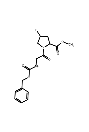 COC(=O)C1CC(F)CN1C(=O)CNC(=O)OCc1ccccc1